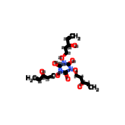 C=CC(=O)CCOn1c(=O)n(OCCC(=O)C=C)c(=O)n(OCCC(=O)C=C)c1=O